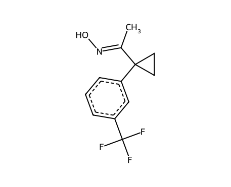 CC(=NO)C1(c2cccc(C(F)(F)F)c2)CC1